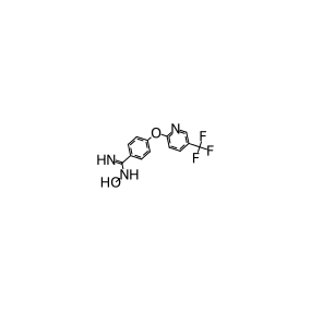 N=C(NO)c1ccc(Oc2ccc(C(F)(F)F)cn2)cc1